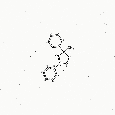 CC1(c2ccccc2)COC(c2ccccc2)=N1